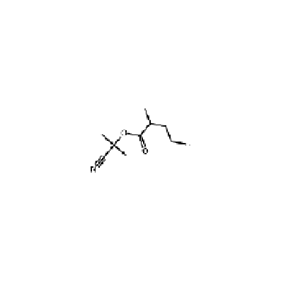 [CH2]CCC(C)C(=O)OC(C)(C)C#N